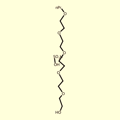 CCCOCCOCCOCCOCCOCCO.O=S(=O)(O)O